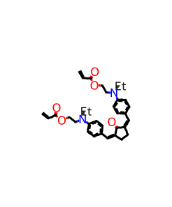 C=CC(=O)OCCN(CC)c1ccc(C=C2CCC(=Cc3ccc(N(CC)CCOC(=O)C=C)cc3)C2=O)cc1